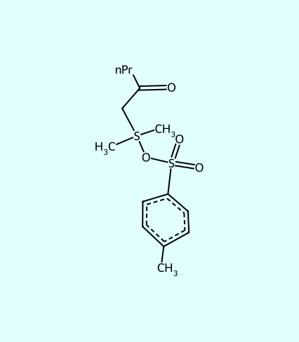 CCCC(=O)CS(C)(C)OS(=O)(=O)c1ccc(C)cc1